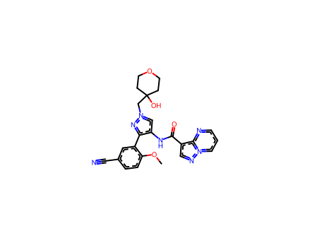 COc1ccc(C#N)cc1-c1nn(CC2(O)CCOCC2)cc1NC(=O)c1cnn2cccnc12